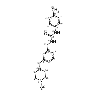 CC(=O)N1CCN(Cc2ccnc(CNC(=O)Nc3ccc(C)nc3)c2)CC1